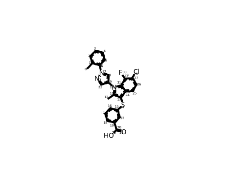 Cc1ccccc1-n1cc(-n2c(C)c(Sc3cccc(C(=O)O)c3)c3ccc(Cl)c(F)c32)cn1